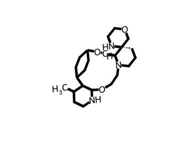 CC1CCNC2OCCN3CCC[C@]4(COCCN4)[C@H]3COC3CCC(CC3)C12